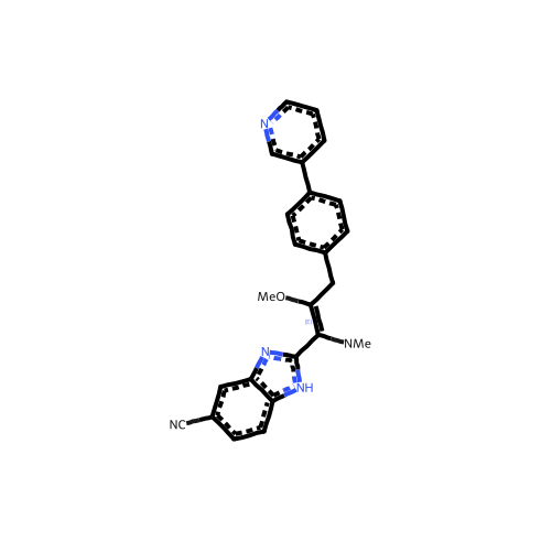 CN/C(=C(\Cc1ccc(-c2cccnc2)cc1)OC)c1nc2cc(C#N)ccc2[nH]1